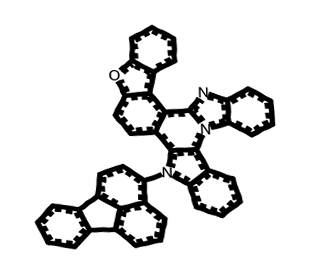 c1ccc2c(c1)-c1cccc3c(-n4c5ccccc5c5c4c4ccc6oc7ccccc7c6c4c4nc6ccccc6n45)ccc-2c13